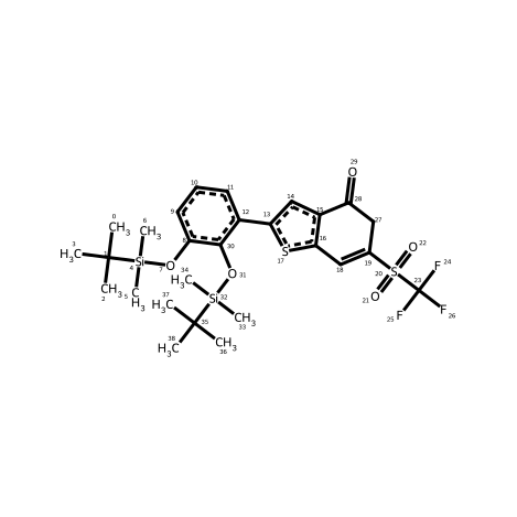 CC(C)(C)[Si](C)(C)Oc1cccc(-c2[c]c3c(s2)C=C(S(=O)(=O)C(F)(F)F)CC3=O)c1O[Si](C)(C)C(C)(C)C